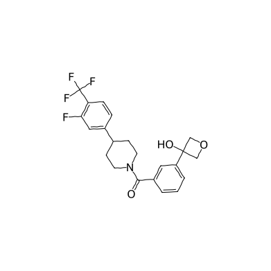 O=C(c1cccc(C2(O)COC2)c1)N1CCC(c2ccc(C(F)(F)F)c(F)c2)CC1